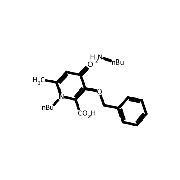 CCCCN.CCCCn1c(C)cc(=O)c(OCc2ccccc2)c1C(=O)O